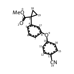 COC(=O)C1(c2cccc(Oc3ccc(C#N)cc3)c2)CC1